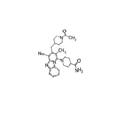 CC(=O)N1CCC(Cc2c(C)c(N3CCC(C(N)=O)CC3)n3c(nc4ccccc43)c2C#N)CC1